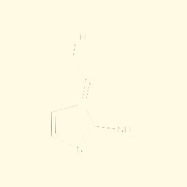 CON=S1C=CN=C1N